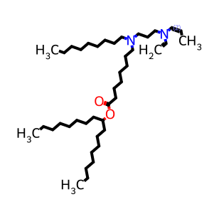 C=CN(/C=C\C)CCCN(CCCCCCCCC)CCCCCCCC(=O)OC(CCCCCCCC)CCCCCCCC